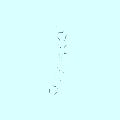 O=C(NCCN1CCC(Cc2ccccc2)CC1)c1cc2cc3c(cc2[nH]1)OCO3